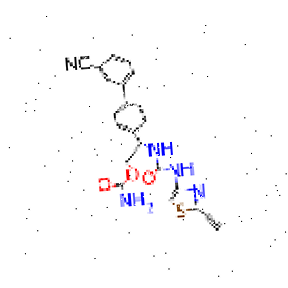 C#Cc1nc(NC(=O)NC(COC(N)=O)c2ccc(-c3cccc(C#N)c3)cc2)cs1